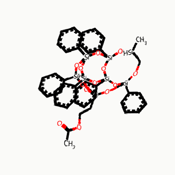 CC(=O)OCC[Si]12O[SiH](c3ccccc3)O[Si]3(c4ccccc4)O[Si]4(c5ccccc5)O[SiH](C)CO[Si](c5ccccc5)(O1)O[Si](c1ccccc1)(O4)O[Si](c1ccccc1)(O2)O3